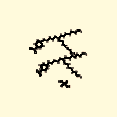 CCCCCCCN(CCCCCCC)CCCCCc1ccc([N+](=O)[O-])cc1.CCCCCCCN(CCCCCCC)CCCCCc1ccc([N+](=O)[O-])cc1.O=S(=O)(O)O